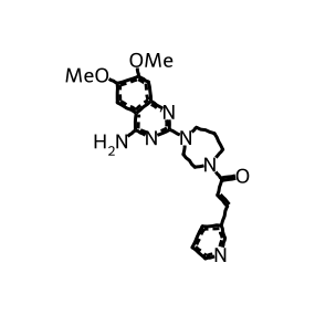 COc1cc2nc(N3CCCN(C(=O)C=Cc4cccnc4)CC3)nc(N)c2cc1OC